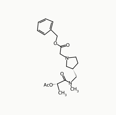 CC(=O)O[C@@H](C)C(=O)N(C)C[C@H]1CCN(CC(=O)OCc2ccccc2)C1